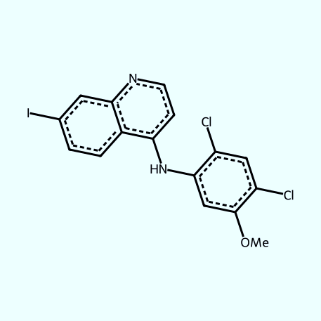 COc1cc(Nc2ccnc3cc(I)ccc23)c(Cl)cc1Cl